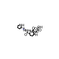 O=C(N/N=C/[C@@H]1CCCN1)[C@@H]1CC[C@H]2CN1C(=O)N2OS(=O)(=O)O